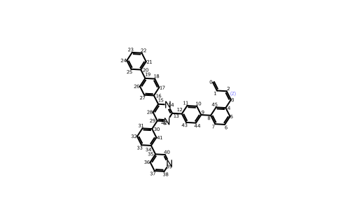 C=C/C=C\c1cccc(-c2ccc(-c3nc(-c4ccc(-c5ccccc5)cc4)cc(-c4cccc(-c5cccnc5)c4)n3)cc2)c1